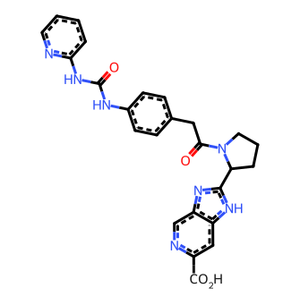 O=C(Nc1ccc(CC(=O)N2CCCC2c2nc3cnc(C(=O)O)cc3[nH]2)cc1)Nc1ccccn1